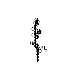 CCCCCCOC(=O)/N=C(\N)c1ccc(NCCc2cccc(C(=O)N(CCC(=O)OCc3oc(=O)oc3C)c3ccccn3)c2)cc1